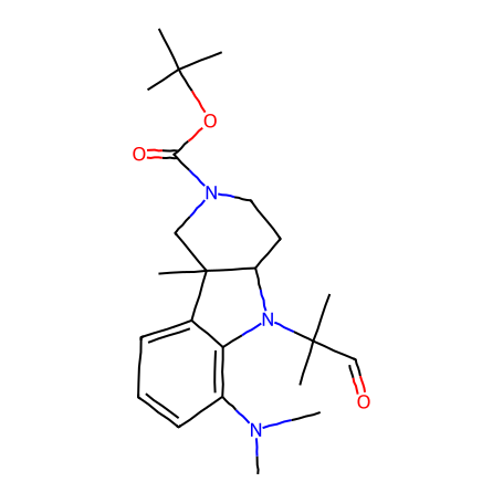 CN(C)c1cccc2c1N(C(C)(C)C=O)C1CCN(C(=O)OC(C)(C)C)CC21C